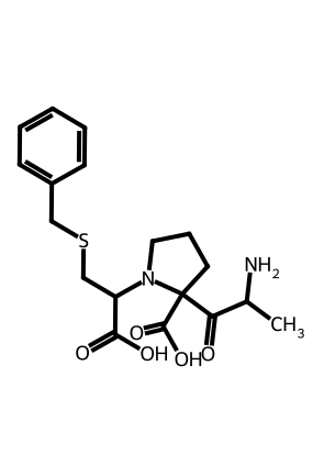 CC(N)C(=O)C1(C(=O)O)CCCN1C(CSCc1ccccc1)C(=O)O